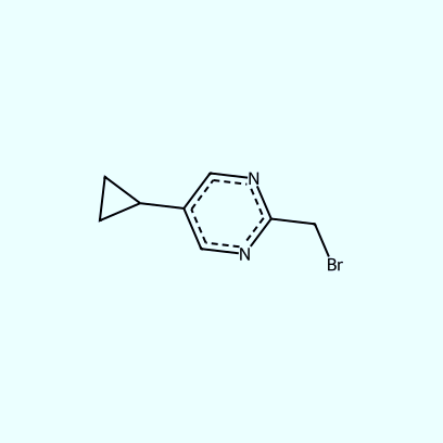 BrCc1ncc(C2CC2)cn1